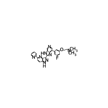 CN(C)CCOc1cc(F)cc(-c2cncc3[nH]c(-c4n[nH]c5ccc(-c6ccccn6)nc45)nc23)c1